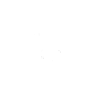 Cc1ccc2[nH]c3c(c2c1)CN1CCC3CC1